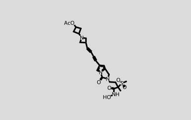 CC(=O)OC1CC(N2CC(C#CC#Cc3cc4n(c3)C(=O)N(CCC(C)(C(=O)NO)S(C)(=O)=O)C4)C2)C1